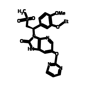 CCOc1cc([C@H](CS(C)(=O)=O)n2c(=O)[nH]c3cc(Oc4ncccn4)cnc32)ccc1OC